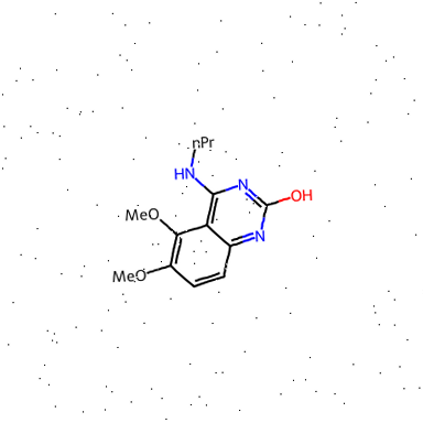 CCCNc1nc(O)nc2ccc(OC)c(OC)c12